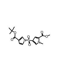 COC(=O)c1cc(S(=O)(=O)n2ccc(C(=O)OC(C)(C)C)c2)cn1C